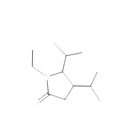 CCN1C(=O)CC(C(C)C)C1C(C)C